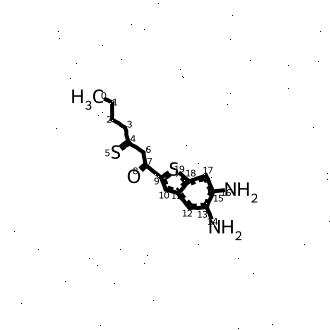 CCCCC(=S)CC(=O)c1cc2cc(N)c(N)cc2s1